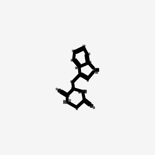 O=C1CNC(=O)C(Cc2c[nH]c3ccccc23)N1